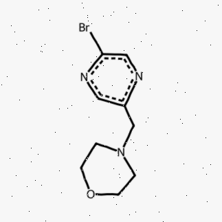 Brc1cnc(CN2CCOCC2)cn1